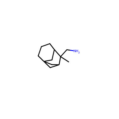 CC1(CN)C2CCCC3(C2)CC1C3